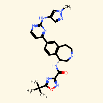 Cn1cc(Nc2nccc(-c3ccc4c(c3)CCNC[C@@H]4NC(=O)c3noc(C(C)(C)C)n3)n2)cn1